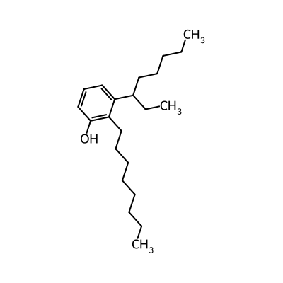 CCCCCCCCc1c(O)cccc1C(CC)CCCCC